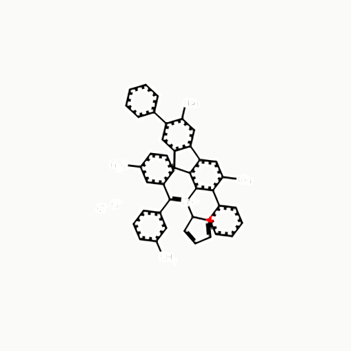 Cc1cccc([C](c2cccc(C)c2)=[Zr+2]([c]2c3c(cc(C(C)(C)C)c2-c2ccccc2)-c2cc(C(C)(C)C)c(-c4ccccc4)cc2C3)[CH]2C=CC=C2)c1.[Cl-].[Cl-]